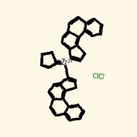 C1=[C]([Zr+2]([C]2=CCc3c2ccc2ccc4ccccc4c32)=[C]2CCCC2)c2ccc3ccc4ccccc4c3c2C1.[Cl-].[Cl-]